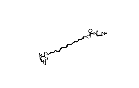 C=N/C=C\N(C)C(=O)OCCCCCCCCCCCCCCOC(=O)N(C)/C=C\N=C